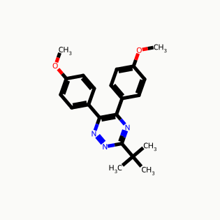 COc1ccc(-c2nnc(C(C)(C)C)nc2-c2ccc(OC)cc2)cc1